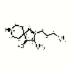 CCCCC1=NC2(CCNCC2)C(=O)N1C